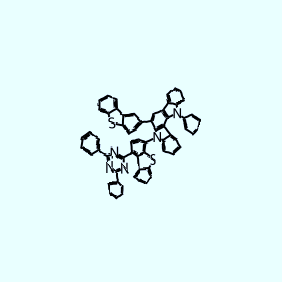 c1ccc(-c2nc(-c3ccccc3)nc(-c3ccc(-n4c5ccccc5c5c4c(-c4ccc6sc7ccccc7c6c4)cc4c6ccccc6n(-c6ccccc6)c45)c4sc5ccccc5c34)n2)cc1